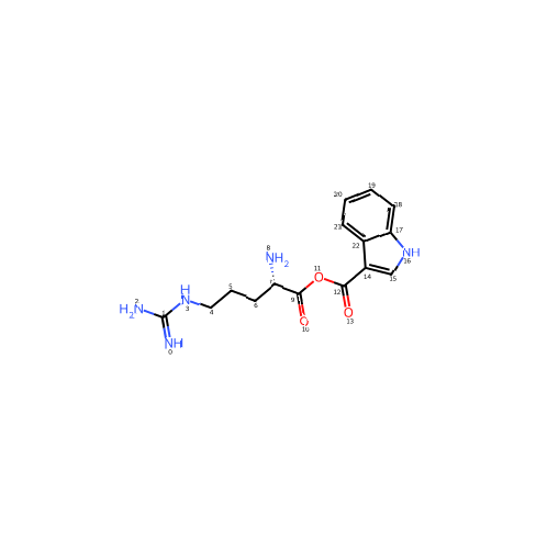 N=C(N)NCCC[C@H](N)C(=O)OC(=O)c1c[nH]c2ccccc12